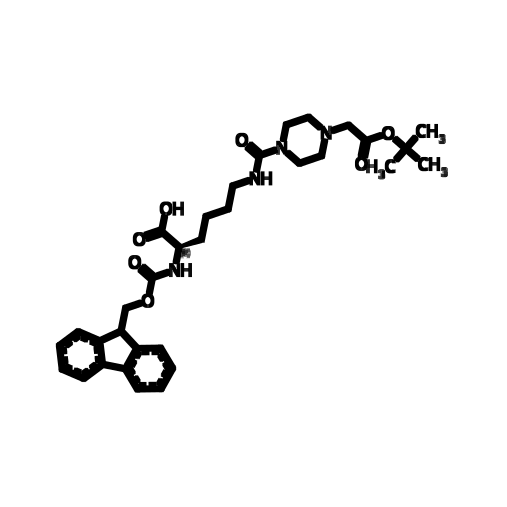 CC(C)(C)OC(=O)CN1CCN(C(=O)NCCCC[C@@H](NC(=O)OCC2c3ccccc3-c3ccccc32)C(=O)O)CC1